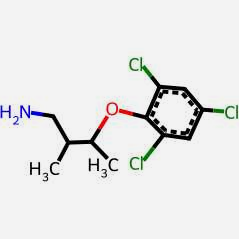 CC(CN)C(C)Oc1c(Cl)cc(Cl)cc1Cl